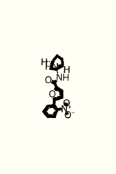 O=C(N[C@@H]1C[C@H]2CC[C@@H]1N2)c1ccc(-c2ccccc2[N+](=O)[O-])o1